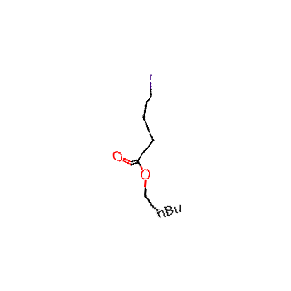 CCCCCOC(=O)CCCI